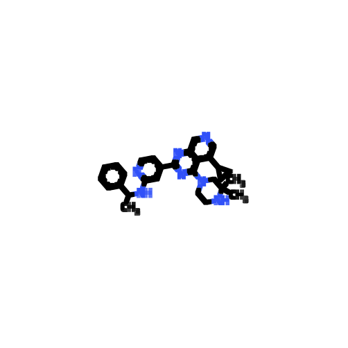 CC(Nc1cc(-c2nc(N3CCNC(C)(C)C3)c3c(C4CC4)cncc3n2)ccn1)c1ccccc1